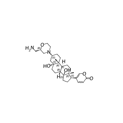 C[C@]12CC[C@H](N3CCO[C@H](CN)C3)C[C@@]1(O)CC[C@@H]1[C@@H]2CC[C@]2(C)[C@@H](c3ccc(=O)oc3)CC[C@]12O